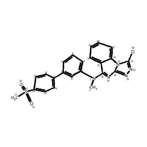 CN(c1cccc(-c2ccc(S(C)(=O)=O)cc2)c1)c1nc2nnc(Cl)n2c2ccccc12